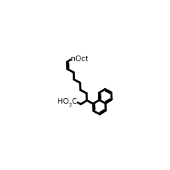 CCCCCCCC/C=C\CCCCCC(CC(=O)O)c1cccc2ccccc12